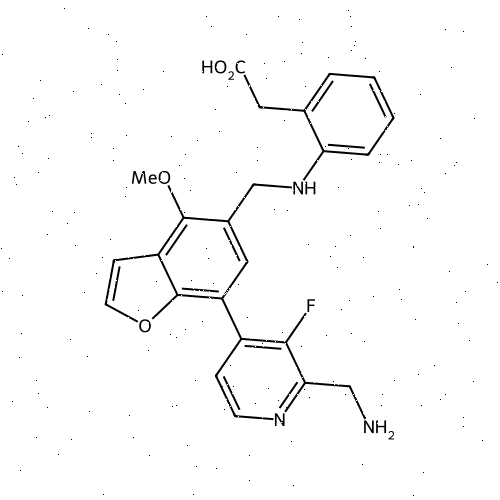 COc1c(CNc2ccccc2CC(=O)O)cc(-c2ccnc(CN)c2F)c2occc12